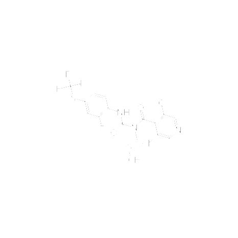 COCN(C(=O)Nc1ccc(SC(F)(F)F)cc1F)C(=O)c1c(Cl)cncc1Cl